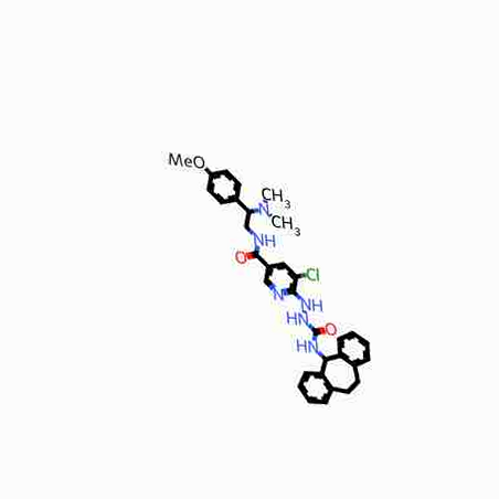 COc1ccc(C(CNC(=O)c2cnc(NNC(=O)NC3c4ccccc4CCc4ccccc43)c(Cl)c2)N(C)C)cc1